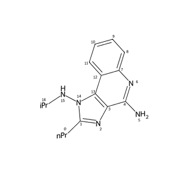 CCCc1nc2c(N)nc3ccccc3c2n1NC(C)C